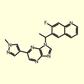 CC(c1cc2cccnc2cc1F)n1cnc2ncc(-c3cnn(C)c3)nc21